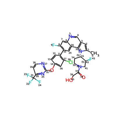 Cc1cc2cnc3cc(F)c(-c4ccc(Oc5nccc(C(F)(F)F)n5)cc4Cl)cc3c2n1[C@H]1CCN(C(=O)CO)C[C@@H]1F